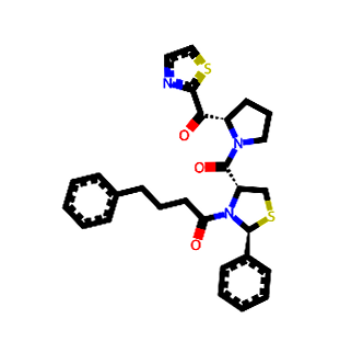 O=C(c1nccs1)[C@@H]1CCCN1C(=O)[C@@H]1CS[C@@H](c2ccccc2)N1C(=O)CCCc1ccccc1